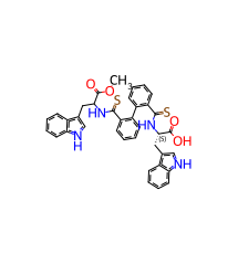 COC(=O)C(Cc1c[nH]c2ccccc12)NC(=S)c1ccccc1-c1ccccc1C(=S)N[C@@H](Cc1c[nH]c2ccccc12)C(=O)O